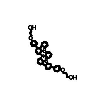 OCCCOc1ccc(-c2ccc3c(c2)B2c4cccc5c4N(c4cccc-3c42)c2ccc(-c3ccc(OCCCO)cc3)c3c2B5c2ccccc2-3)cc1